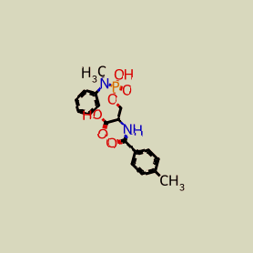 Cc1ccc(C(=O)NC(COP(=O)(O)N(C)c2ccccc2)C(=O)O)cc1